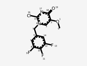 COc1cn(Cc2cc(F)c(F)c(F)c2)c(Cl)nc1=O